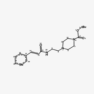 CC(C)(C)OC(=O)N1CCN(CCNC(=O)C=Cc2cccnc2)CC1